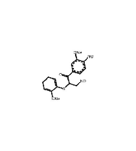 COC1=CCCC=C1OC(CN=O)C(=O)c1ccc(N=O)c(OC)c1